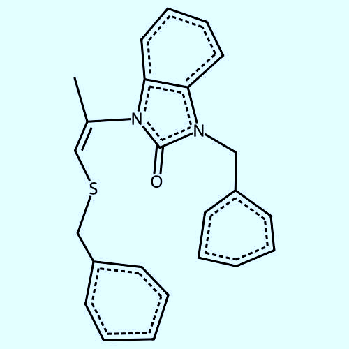 C/C(=C/SCc1ccccc1)n1c(=O)n(Cc2ccccc2)c2ccccc21